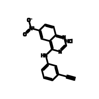 C#Cc1cccc(Nc2ncnc3ccc([N+](=O)[O-])cc23)c1.Cl